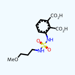 COCCCNS(=O)(=O)Nc1cccc(C(=O)O)c1C(=O)O